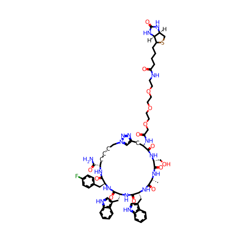 C[C@H]1NC(=O)[C@@H](CO)NC(=O)[C@@H](NC(=O)COCCOCCOCCNC(=O)CCCCC2SC[C@@H]3NC(=O)N[C@H]23)Cc2cn(nn2)CCCC[C@@H](C(N)=O)NC(=O)[C@H](Cc2ccc(F)cc2)NC(=O)[C@@H](Cc2c[nH]c3ccccc23)NC(=O)[C@@H](Cc2c[nH]c3ccccc23)NC1=O